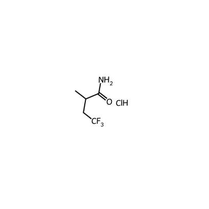 CC(CC(F)(F)F)C(N)=O.Cl